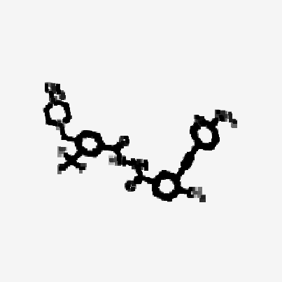 Cc1ccc(C(=O)NNC(=O)c2ccc(CN3CCN(C)CC3)c(C(F)(F)F)c2)cc1C#Cc1ccc(N)nc1